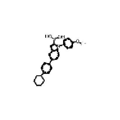 CC(C)Oc1ccc(-n2c(B(O)O)cc3cc(-c4ccc(C5CCCCC5)cc4)ccc32)cc1